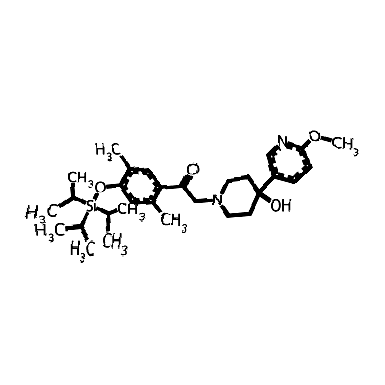 COc1ccc(C2(O)CCN(CC(=O)c3cc(C)c(O[Si](C(C)C)(C(C)C)C(C)C)cc3C)CC2)cn1